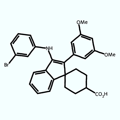 COc1cc(OC)cc(C2=C(Nc3cccc(Br)c3)c3ccccc3C23CCC(C(=O)O)CC3)c1